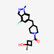 Cn1ncc2c(F)cc(CC3CCN(C(=O)[C@H]4C[C@@](C)(O)C4)CC3)cc21